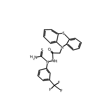 NC(=S)N(NC(=O)CN1c2ccccc2Sc2ccccc21)c1cccc(C(F)(F)F)c1